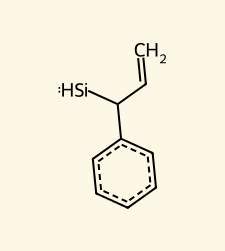 C=CC([SiH])c1ccccc1